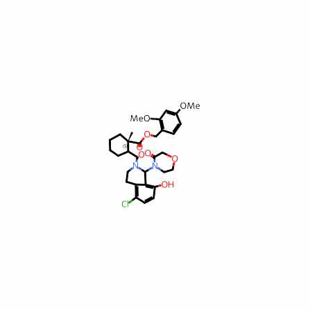 COc1ccc(COC(=O)[C@@]2(C)CCCCC2C(=O)N2CCc3c(Cl)ccc(O)c3C2N2CCOCC2=O)c(OC)c1